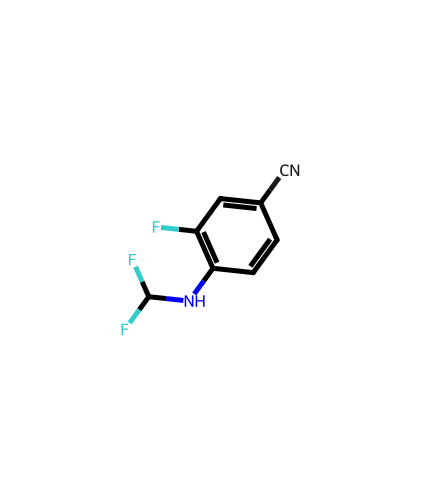 N#Cc1ccc(NC(F)F)c(F)c1